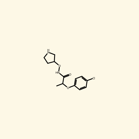 CC(Oc1ccc(Cl)cc1)C(=O)NOC1CCNC1